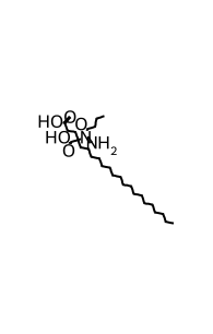 CCCCCCCCCCCCCCCCCCC(CCC(=O)O)(C(=O)O)N(N)C(=O)CCC